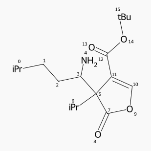 CC(C)CCC(N)C1(C(C)C)C(=O)OC=C1C(=O)OC(C)(C)C